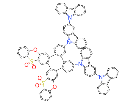 O=S1(=O)c2ccccc2Oc2cc3c(cc21)-c1cc2c(cc1-c1ccc(-n4c5ccccc5c5cc(-n6c7ccccc7c7ccccc76)ccc54)cc1-c1cc(-n4c5ccccc5c5cc(-n6c7ccccc7c7ccccc76)ccc54)ccc1-3)Oc1ccccc1S2(=O)=O